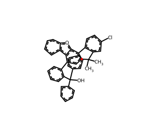 CC1(C)c2cc(Cl)ccc2-c2c1cc(-c1ccccc1C(O)(c1ccccc1)c1ccccc1)c1c2oc2ccccc21